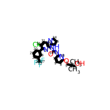 CC(C)(CO)COc1cccc(NC(=O)N2c3nc(-c4cccc(C(F)(F)F)c4)c(Cl)cc3N3CCC2C3)n1